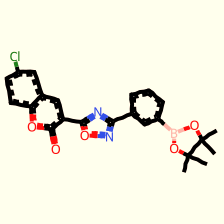 CC1(C)OB(c2cccc(-c3noc(-c4cc5cc(Cl)ccc5oc4=O)n3)c2)OC1(C)C